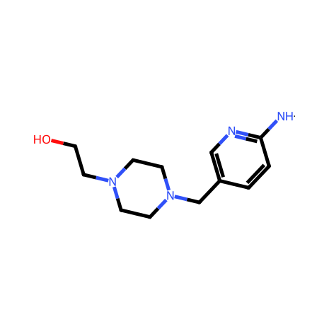 [NH]c1ccc(CN2CCN(CCO)CC2)cn1